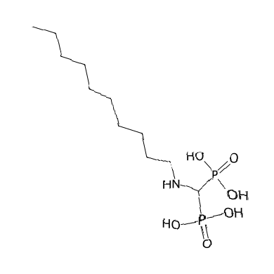 CCCCCCCCCCNC(P(=O)(O)O)P(=O)(O)O